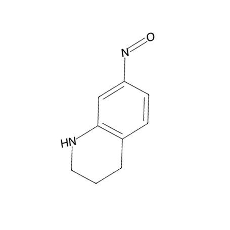 O=Nc1ccc2c(c1)NCCC2